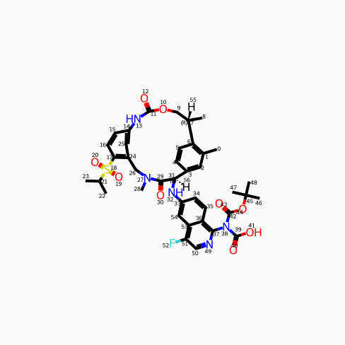 Cc1cc2ccc1[C@@H](C)COC(=O)Nc1ccc(S(=O)(=O)C(C)C)c(c1)CN(C)C(=O)[C@@H]2Nc1ccc2c(N(C(=O)O)C(=O)OC(C)(C)C)ncc(F)c2c1